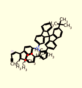 C#C/C=C\C1=C(C)C(C)(C)c2cc(N(c3ccc4c(c3)C3(c5ccccc5-4)c4cc(C(C)(C)C)ccc4-c4ccc(C(C)(C)C)cc43)c3ccccc3-c3ccccc3)ccc21